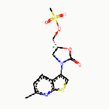 Cc1ccc2c(N3C[C@H](COS(C)(=O)=O)OC3=O)csc2n1